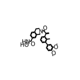 C=C(C(=O)N1CCc2ccc(C(=O)NO)cc2C1)c1cccc(-c2ccc(OC)c(OC)c2)c1C